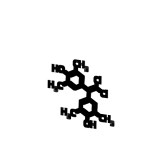 Cc1cc(C(=C(Cl)Cl)c2cc(C)c(O)c(C)c2)cc(C)c1O